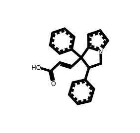 O=C(O)C=CC1(c2ccccc2)c2cccn2CC1c1ccccc1